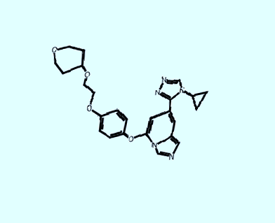 c1cc(Oc2cc(-c3nncn3C3CC3)cc3cncn23)ccc1OCCOC1CCOCC1